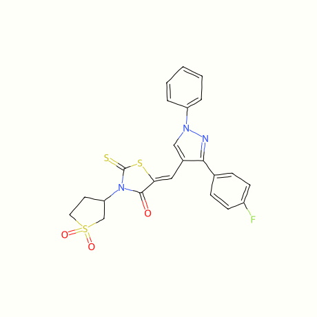 O=C1/C(=C/c2cn(-c3ccccc3)nc2-c2ccc(F)cc2)SC(=S)N1C1CCS(=O)(=O)C1